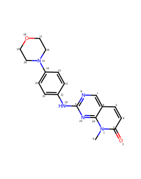 Cn1c(=O)ccc2cnc(Nc3ccc(N4CCOCC4)cc3)nc21